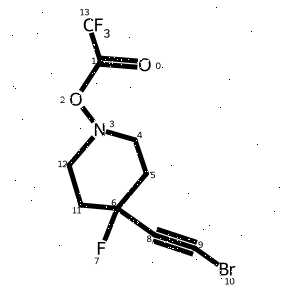 O=C(ON1CCC(F)(C#CBr)CC1)C(F)(F)F